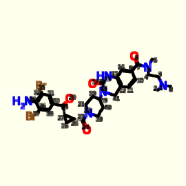 CN(C)CCN(C)C(=O)c1ccc2c(c1)NC(=O)N(C1CCN(C(=O)[C@@H]3C[C@H]3C(=O)c3cc(Br)c(N)c(Br)c3)CC1)C2